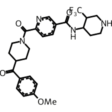 COc1ccc(C(=O)C2CCN(C(=O)c3ccc(C(=O)NC4CCNCC4C(F)(F)F)cn3)CC2)cc1